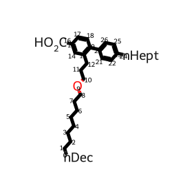 CCCCCCCCCCCCCCCCCCOCCCc1cc(C(=O)O)ccc1-c1ccc(CCCCCCC)cc1